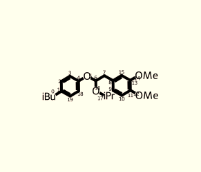 CCC(C)c1ccc(OC(Cc2ccc(OC)c(OC)c2)OC(C)C)cc1